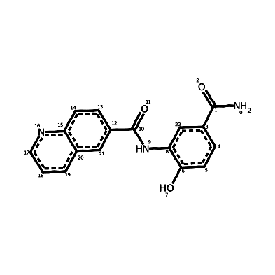 NC(=O)c1ccc(O)c(NC(=O)c2ccc3ncccc3c2)c1